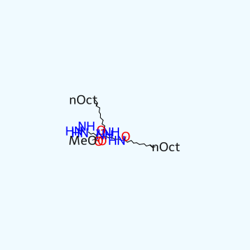 CCCCCCCCC=CCCCCCCCC(=O)NCCCCC(NC(=O)CCCCCCCC=CCCCCCCCC)C(=O)NC(CCCNC(=N)N)C(=O)OC